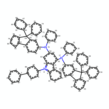 c1ccc(-c2ccc(-n3c4ccccc4c4c(N(c5ccccc5)c5ccc6c(c5)C(c5ccccc5)(c5ccccc5)c5ccccc5-6)cc(N(c5ccccc5)c5ccc6c(c5)C(c5ccccc5)(c5ccccc5)c5ccccc5-6)cc43)cc2)cc1